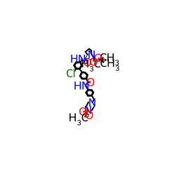 CC(C)(C)OC(=O)N1CCC[C@@H]1C(=O)Nc1ccc(Cl)c(-c2ccc(C(=O)Nc3ccc(CN4CCN(S(C)(=O)=O)CC4)cc3)cc2)c1